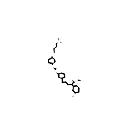 CCn1c(C)c(C=C2Oc3ccc(NC(=O)Nc4ccc(OCCCCN(C)C)cc4)cc3C2=O)c2cc(OC)ccc21